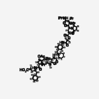 CC[C@H](C)[C@H](NC(=O)[C@H]1CCCC[N+]1(C)Cc1ccc(NC(=O)C(C)(C)OC(=O)NC[C@@H](C(=O)N[C@H](C(=O)NC(C)C)C(C)C)N2C(=O)C=CC2=O)cc1)C(=O)N(C)[C@H](C[C@@H](OC(C)=O)c1nc(C(=O)N[C@@H](Cc2ccccc2)C[C@H](C)C(=O)O)cs1)C(C)C